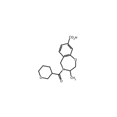 CC1COc2cc(C(=O)O)ccc2CN1C(=O)C1CCCOC1